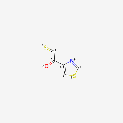 O=C(C=S)c1cscn1